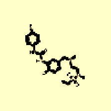 CCS(=O)(=O)N(C)CCN(C)Cc1ccc(F)c(NC(=O)Nc2ccc(F)cc2)c1